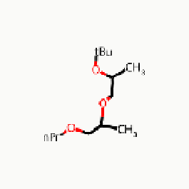 CCCOCC(C)OCC(C)OC(C)(C)C